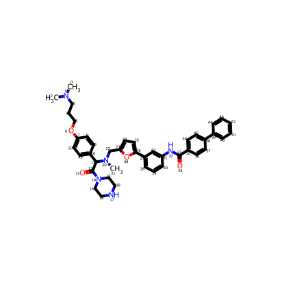 CN(C)CCCOc1ccc(C(C(=O)N2CCNCC2)N(C)Cc2ccc(-c3cccc(NC(=O)c4ccc(-c5ccccc5)cc4)c3)o2)cc1